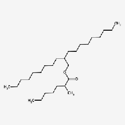 CCCCCCCCCC(CCCCCCCCC)COC(=O)C(C)CCCCC